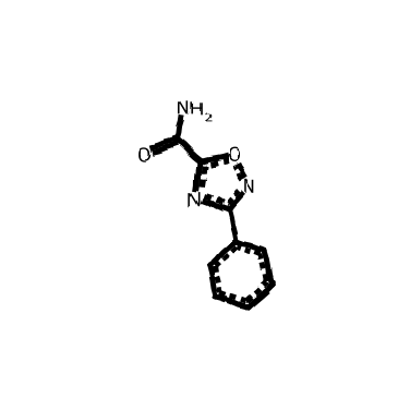 NC(=O)c1nc(-c2ccccc2)no1